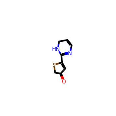 O=C1C=C(C2=NC=CCN2)SC1